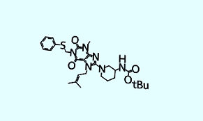 CC(C)=CCn1c(N2CCCC(NC(=O)OC(C)(C)C)C2)nc2c1c(=O)n(CSc1ccccc1)c(=O)n2C